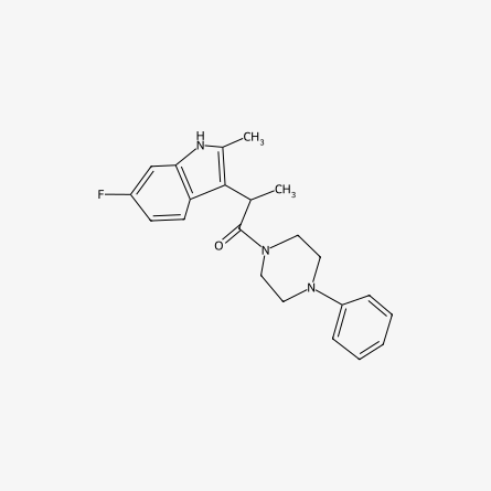 Cc1[nH]c2cc(F)ccc2c1C(C)C(=O)N1CCN(c2ccccc2)CC1